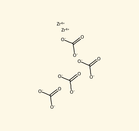 O=C([O-])[O-].O=C([O-])[O-].O=C([O-])[O-].O=C([O-])[O-].[Zr+4].[Zr+4]